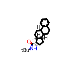 CC(C)(C)NC(=O)[C@H]1CC[C@H]2[C@@H]3CCc4ccccc4[C@H]3CC[C@]12C